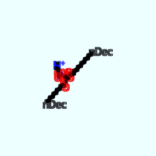 CCCCCCCCCCCCCCCCCCCCCC(=O)O[C@H](COC(=O)CCCCCCCCCCCCCCCCCCC)COP(=O)(O)OCC[N+](C)(C)C